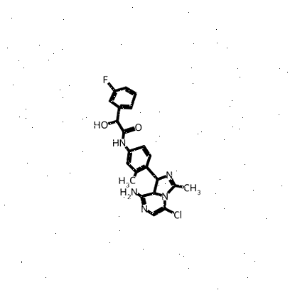 CC1=NC(c2ccc(NC(=O)C(O)c3cccc(F)c3)cc2C)C2C(N)=NC=C(Cl)N12